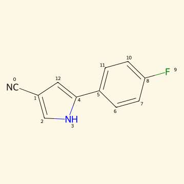 N#Cc1c[nH]c(-c2ccc(F)cc2)c1